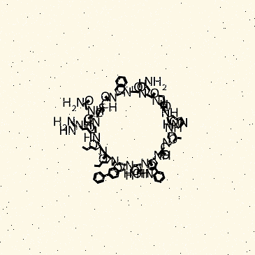 CCCC[C@H]1C(=O)N(C)[C@@H](CCCC)C(=O)N[C@@H](CCCNC(=N)N)C(=O)N[C@H](C(=O)NCC(N)=O)CSCC(=O)N[C@@H](Cc2ccccc2)C(=O)N(C)[C@@H](C)C(=O)N[C@@H](CC(N)=O)C(=O)N2CCC[C@H]2C(=O)N[C@@H](Cc2cnc[nH]2)C(=O)N[C@@H](CC(C)C)C(=O)N(C)CC(=O)N[C@@H](Cc2c[nH]c3ccccc23)C(=O)N[C@@H](CO)C(=O)N[C@@H](Cc2ccc(-c3ccccc3)cc2)C(=O)N1C